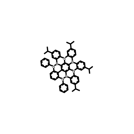 CC(C)c1ccc2c(c1)B1c3c4c5c6c7c3N2c2cc(C(C)C)ccc2B7c2ccc(C(C)C)cc2N6c2ccc(C(C)C)cc2B5N(c2ccccc2)c2cccc(c2-4)N1c1ccccc1